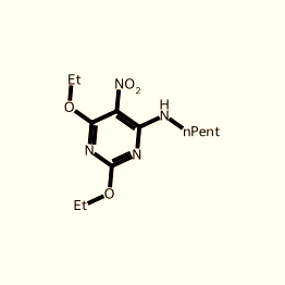 CCCCCNc1nc(OCC)nc(OCC)c1[N+](=O)[O-]